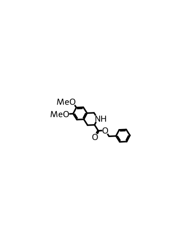 COc1cc2c(cc1OC)CC(C(=O)OCc1ccccc1)NC2